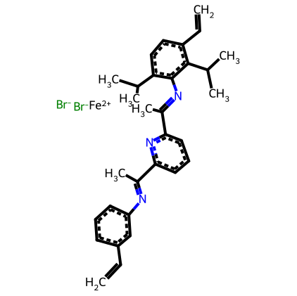 C=Cc1cccc(/N=C(\C)c2cccc(/C(C)=N/c3c(C(C)C)ccc(C=C)c3C(C)C)n2)c1.[Br-].[Br-].[Fe+2]